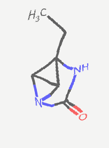 CCC12NC(=O)N3C1C32